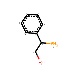 OCC(P)c1ccccc1